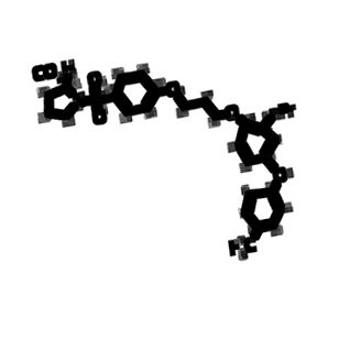 CCCc1cc(Oc2ccc(C(F)(F)F)cc2)ccc1OCCCOc1ccc(S(=O)(=O)N2CCCC2C(=O)O)cc1